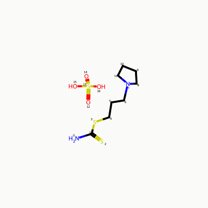 NC(=S)SCCCN1CCCC1.O=S(=O)(O)O